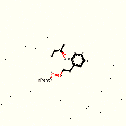 CCC(C)=O.CCCCCOOCCc1ccccc1